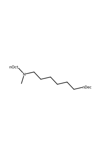 CCCCCCCCCCCCCCCCN(C)CCCCCCCC